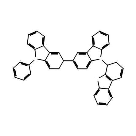 C1=Cc2c(oc3ccccc23)C(n2c3ccccc3c3cc(C4C=c5c(n(-c6ccccc6)c6ccccc56)=CC4)ccc32)C1